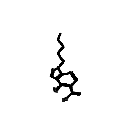 CCCCCn1ncc2c(Cl)c(C(=O)O)cnc21